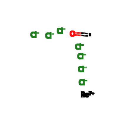 [C]=O.[Cl-].[Cl-].[Cl-].[Cl-].[Cl-].[Cl-].[Cl-].[Re+7]